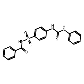 O=C(NS(=O)(=O)c1ccc(NC(=S)Nc2ccccc2)cc1)c1ccccc1